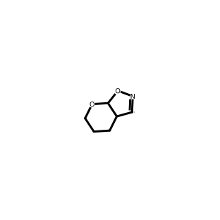 [C]1=NOC2OCCCC12